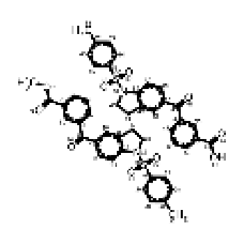 COC(=O)c1cccc(C(=O)c2ccc3c(c2)CCN3S(=O)(=O)c2ccc(C)cc2)c1.Cc1ccc(S(=O)(=O)N2CCc3cc(C(=O)c4cccc(C(=O)O)c4)ccc32)cc1